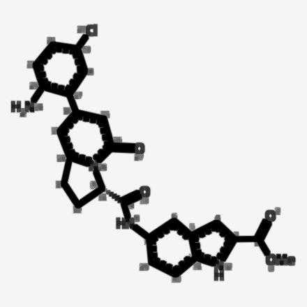 COC(=O)c1cc2cc(NC(=O)[C@@H]3CCc4cc(-c5cc(Cl)ccc5N)cc(=O)n43)ccc2[nH]1